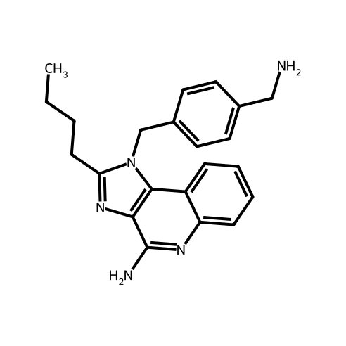 CCCCc1nc2c(N)nc3ccccc3c2n1Cc1ccc(CN)cc1